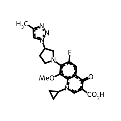 COc1c(N2CCC(n3cc(C)nn3)C2)c(F)cc2c(=O)c(C(=O)O)cn(C3CC3)c12